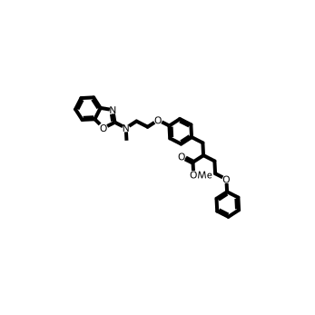 COC(=O)C(CCOc1ccccc1)Cc1ccc(OCCN(C)c2nc3ccccc3o2)cc1